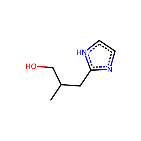 CC(CO)Cc1ncc[nH]1